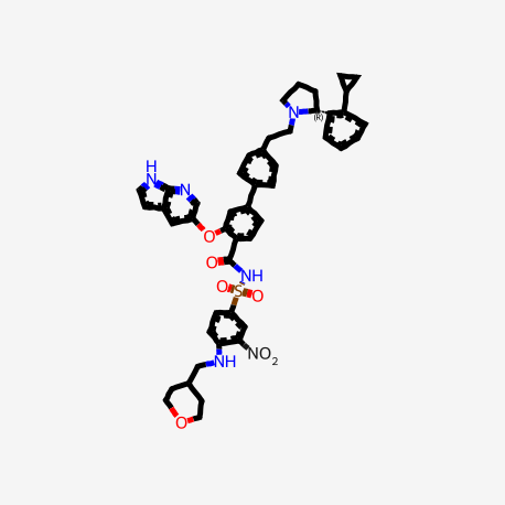 O=C(NS(=O)(=O)c1ccc(NCC2CCOCC2)c([N+](=O)[O-])c1)c1ccc(-c2ccc(CCN3CCC[C@@H]3c3ccccc3C3CC3)cc2)cc1Oc1cnc2[nH]ccc2c1